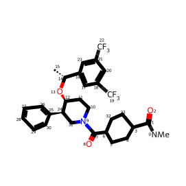 CNC(=O)C1CCC(C(=O)N2CC[C@H](O[C@H](C)c3cc(C(F)(F)F)cc(C(F)(F)F)c3)[C@H](c3ccccc3)C2)CC1